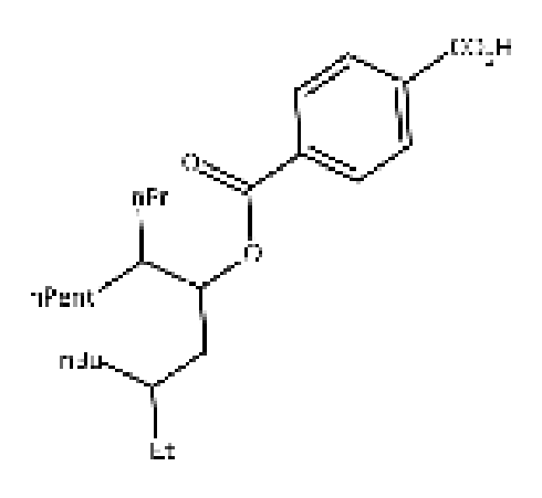 CCCCCC(CCC)C(CC(CC)CCCC)OC(=O)c1ccc(C(=O)O)cc1